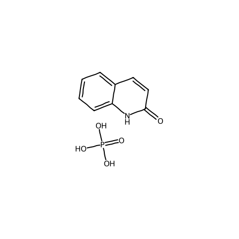 O=P(O)(O)O.O=c1ccc2ccccc2[nH]1